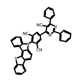 N#Cc1cc(-c2nc(-c3ccccc3)nc(-c3ccccc3)c2C#N)cc(C#N)c1-n1c2ccccc2c2c3sc4ccccc4c3ccc21